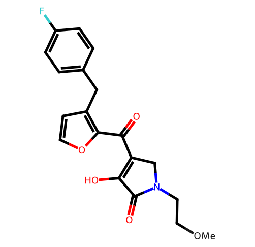 COCCN1CC(C(=O)c2occc2Cc2ccc(F)cc2)=C(O)C1=O